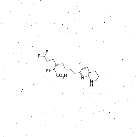 CCC(C(=O)O)N(CCCCc1ccc2c(n1)NCCC2)CCC(F)F